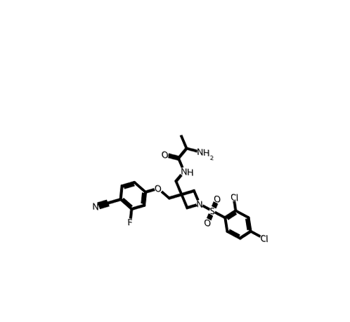 CC(N)C(=O)NCC1(COc2ccc(C#N)c(F)c2)CN(S(=O)(=O)c2ccc(Cl)cc2Cl)C1